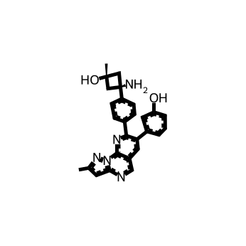 Cc1cc2ncc3cc(-c4cccc(O)c4)c(-c4ccc([C@]5(N)C[C@](C)(O)C5)cc4)nc3n2n1